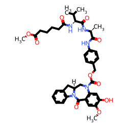 COC(=O)CCCCC(=O)N[C@@H](C(=O)N[C@H](C)C(=O)Nc1ccc(COC(=O)N2C[C@@H]3Cc4ccccc4N3C(=O)c3cc(OC)c(O)cc32)cc1)C(C)C